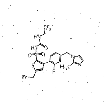 Cc1nccn1Cc1ccc(-c2cc(CC(C)C)sc2S(=O)(=O)NC(=O)NCC(F)(F)F)c(F)c1